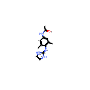 CC(=O)Nc1cc(C)c(N=C2NCCN2)c(C)c1